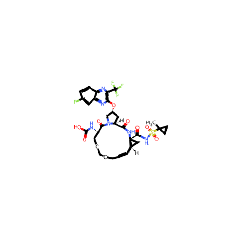 CC1(S(=O)(=O)NC(=O)[C@@]23C[C@H]2C=CCCCCC[C@H](NC(=O)O)C(=O)N2C[C@H](Oc4nc5cc(F)ccc5nc4C(F)(F)F)C[C@H]2C(=O)N3)CC1